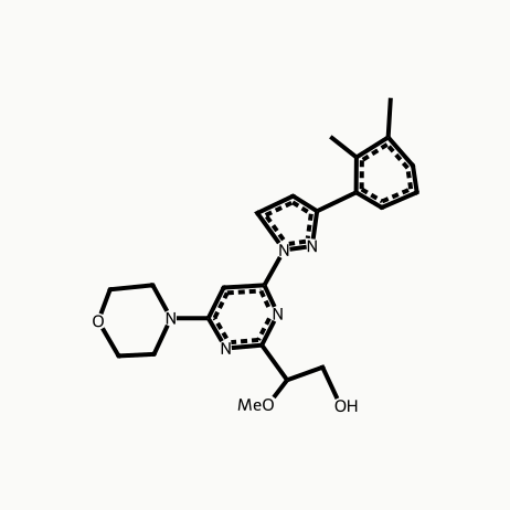 COC(CO)c1nc(N2CCOCC2)cc(-n2ccc(-c3cccc(C)c3C)n2)n1